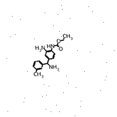 CCOC(=O)Nc1ccc(C(N)c2cccc(C)c2)cc1N